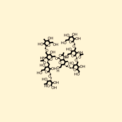 CC(=O)NC1C(COC[C@@H]2OC(CO)[C@H](O)C(C)C2O)[C@H](O)C(COC[C@@H]2OC(CO)[C@@H](COC[C@@H]3OC(CO)[C@H](O)C(COC[C@@H]4OC(CO)[C@@H](O)C(COC[C@@H]5OC(CO)[C@H](O)C(O)C5O)C4NC(C)=O)C3O)C(C)C2NC(C)=O)O[C@H]1CCC1C(O)C(CO)O[C@@H](COC[C@H](C(O)CO)C(O)C(C)O)C1O